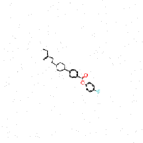 C=C(CC)CCC1CCC(c2ccc(C(=O)Oc3ccc(F)cc3)cc2)CC1